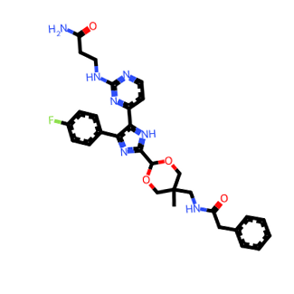 CC1(CNC(=O)Cc2ccccc2)COC(c2nc(-c3ccc(F)cc3)c(-c3ccnc(NCCC(N)=O)n3)[nH]2)OC1